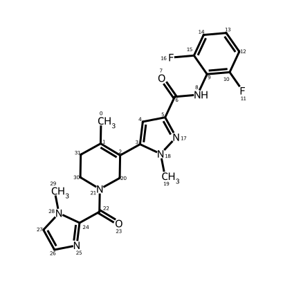 CC1=C(c2cc(C(=O)Nc3c(F)cccc3F)nn2C)CN(C(=O)c2nccn2C)CC1